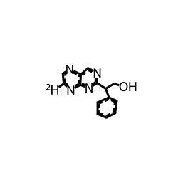 [2H]c1cnc2cnc(C(CO)c3ccccc3)nc2n1